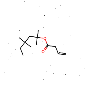 C=CCC(=O)OC(C)(C)CC(C)(C)CC